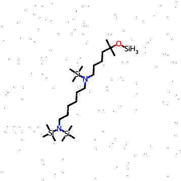 CC(C)(CCCCN(CCCCCCN([Si](C)(C)C)[Si](C)(C)C)[Si](C)(C)C)O[SiH3]